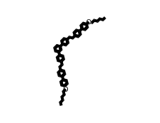 CCCCCCOc1ccc(-c2ccc(CCc3ccc(-c4cccc(-c5ccc(CCc6ccc(-c7ccc(OCCCCCC)cc7)cc6)cc5)c4)cc3)cc2)cc1